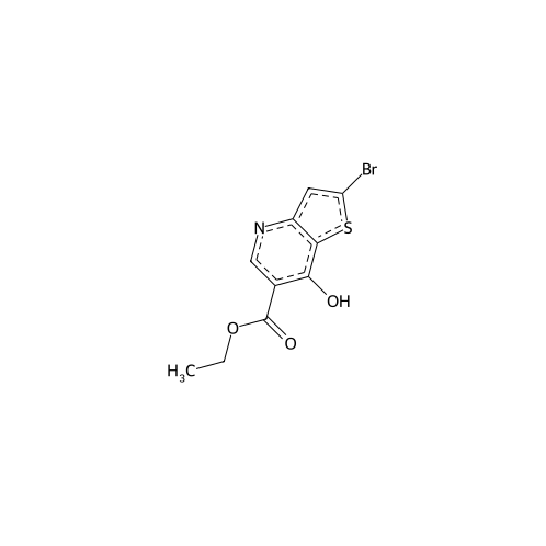 CCOC(=O)c1cnc2cc(Br)sc2c1O